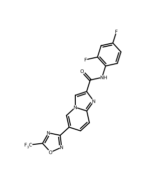 O=C(Nc1ccc(F)cc1F)c1cn2cc(-c3noc(C(F)(F)F)n3)ccc2n1